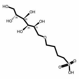 O=S(=O)(O)CCCCOC[C@H](O)[C@@H](O)[C@H](O)[C@H](O)CO